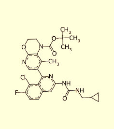 Cc1c(-c2nc(NC(=O)NCC3CC3)cc3ccc(F)c(Cl)c23)cnc2c1N(C(=O)OC(C)(C)C)CCO2